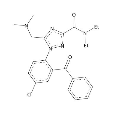 CCN(CC)C(=O)c1nc(CN(C)C)n(-c2ccc(Cl)cc2C(=O)c2ccccc2)n1